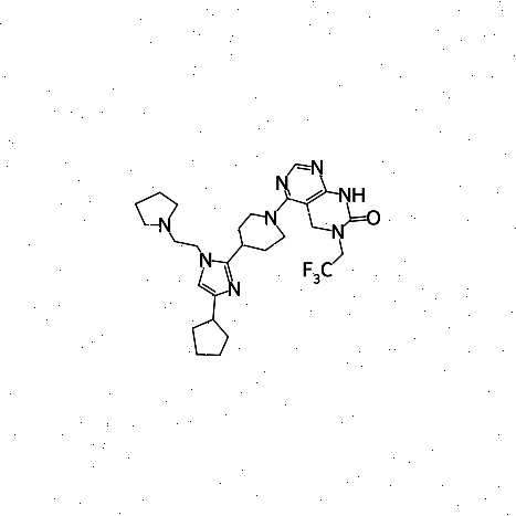 O=C1Nc2ncnc(N3CCC(c4nc(C5CCCC5)cn4CCN4CCCC4)CC3)c2CN1CC(F)(F)F